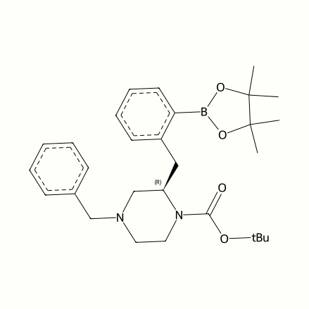 CC(C)(C)OC(=O)N1CCN(Cc2ccccc2)C[C@H]1Cc1ccccc1B1OC(C)(C)C(C)(C)O1